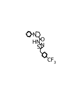 O=C(Nc1ncc(Cc2ccc(C(F)(F)F)cc2)s1)C1CCCN(c2ccccc2)C1